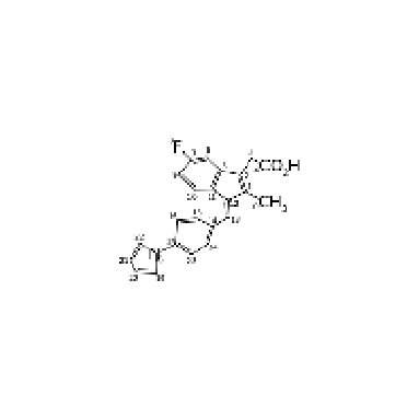 CC1=C(CC(=O)O)c2cc(F)ccc2/C1=C\c1ccc(-n2cccc2)cc1